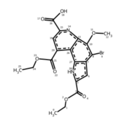 CCOC(=O)c1cc2c(Br)c(OC)c3nc(C(=O)O)cc(C(=O)OCC)c3c2[nH]1